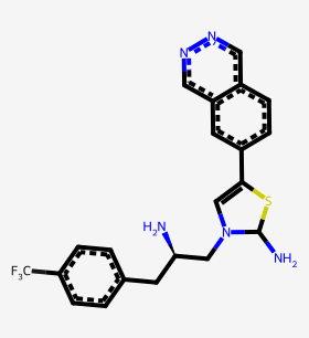 NC1SC(c2ccc3cnncc3c2)=CN1C[C@H](N)Cc1ccc(C(F)(F)F)cc1